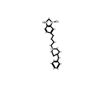 [O-][S+]1CNc2ccc(CCCCN3CCC(Cc4ccccc4)CC3)cc21